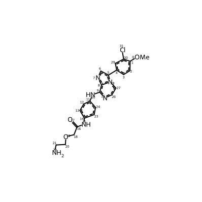 COc1ccc(-c2cnc3c(Nc4ccc(NC(=O)COCCN)cc4)nccn23)cc1Cl